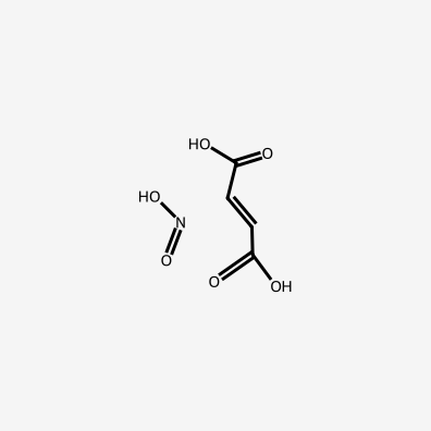 O=C(O)C=CC(=O)O.O=NO